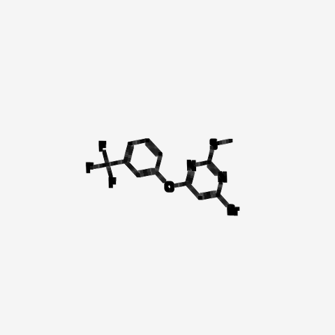 CSc1nc(Br)cc(Oc2cccc(C(F)(F)F)c2)n1